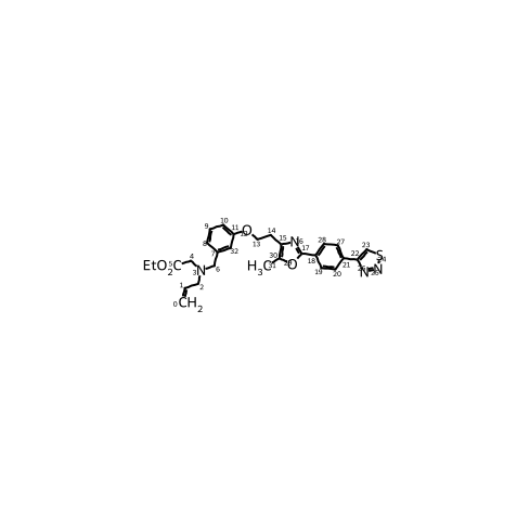 C=CCN(CC(=O)OCC)Cc1cccc(OCCc2nc(-c3ccc(-c4csnn4)cc3)oc2C)c1